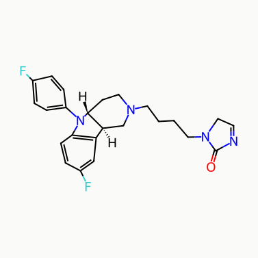 O=C1N=CCN1CCCCN1CC[C@@H]2[C@@H](C1)c1cc(F)ccc1N2c1ccc(F)cc1